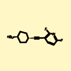 CCCC[C@H]1CC[C@H](C#Cc2ccc(F)nc2F)CC1